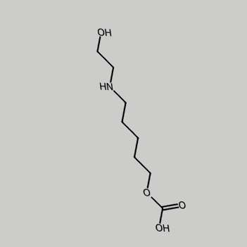 O=C(O)OCCCCCNCCO